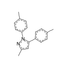 Cc1ccc(-c2cc(C)nn2-c2ccc(C)cc2)cc1